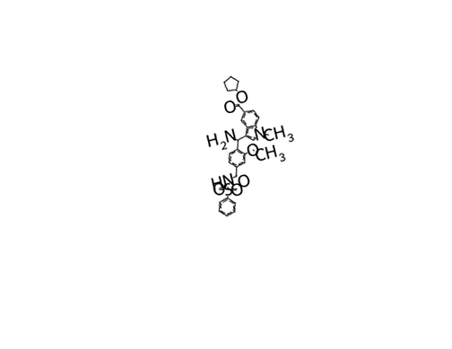 COc1cc(C(=O)NS(=O)(=O)c2ccccc2)ccc1C(N)c1cn(C)c2ccc(C(=O)OC3CCCC3)cc12